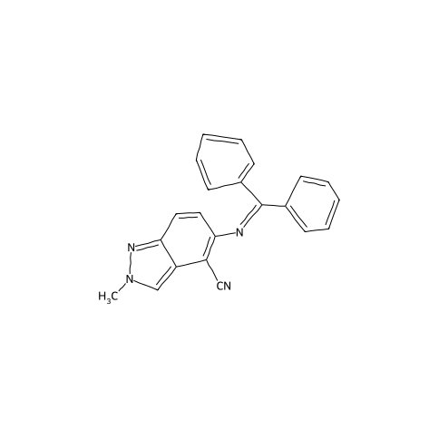 Cn1cc2c(C#N)c(N=C(c3ccccc3)c3ccccc3)ccc2n1